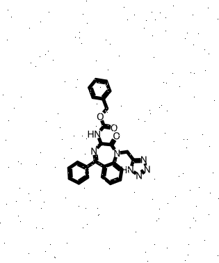 O=C(NC1N=C(c2ccccc2)c2ccccc2N(Cc2nnn[nH]2)C1=O)OCc1ccccc1